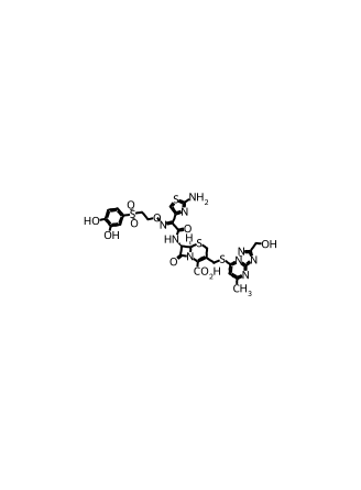 Cc1cc(SCC2=C(C(=O)O)N3C(=O)[C@@H](NC(=O)C(=NOCCS(=O)(=O)c4ccc(O)c(O)c4)c4csc(N)n4)[C@H]3SC2)n2nc(CO)nc2n1